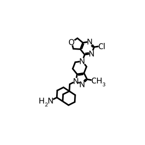 Cc1nn(CC23CCCC(C2)C(N)CC3)c2c1CN(c1nc(Cl)nc3c1COC3)CC2